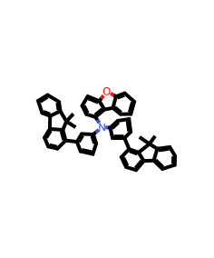 CC1(C)c2ccccc2-c2cccc(-c3cccc(N(c4cccc(-c5cccc6c5C(C)(C)c5ccccc5-6)c4)c4cccc5oc6ccccc6c45)c3)c21